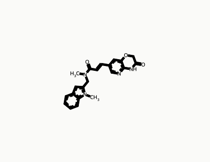 CN(Cc1cc2ccccc2n1C)C(=O)/C=C/c1cnc2c(c1)OCC(=O)N2